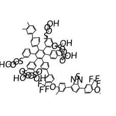 COc1ccc(-c2ccc(-c3ccc(Oc4ccc(-c5ccc(-c6c(-c7ccc(S(=O)(=O)O)c(S(=O)(=O)O)c7)c(-c7cccc(SOOO)c7)c(-c7ccc(-c8ccc(C)c(C)c8)cc7)c(-c7cccc(SOOO)c7)c6-c6ccc(S(=O)(=O)O)c(S(=O)(=O)O)c6)cc5)cc4C(F)(F)F)c(C)c3)c3nsnc23)cc1C(F)(F)F